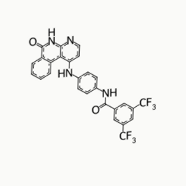 O=C(Nc1ccc(Nc2ccnc3[nH]c(=O)c4ccccc4c23)cc1)c1cc(C(F)(F)F)cc(C(F)(F)F)c1